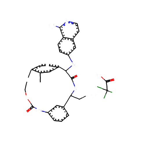 Cc1cc2ccc1CCOC(=O)Nc1cccc(c1)C(CC(=O)O)NC(=O)C2Nc1ccc2c(N)nccc2c1.O=C(O)C(F)(F)F